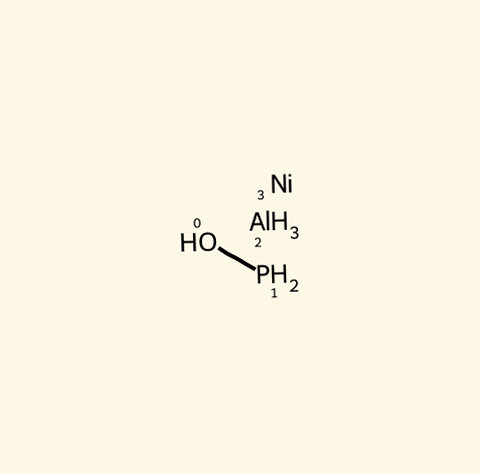 OP.[AlH3].[Ni]